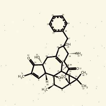 CC1=C[C@H]2[C@@]3(O)[C@H](C)C[C@]4(OC(=O)C[C@@H](N)CCc5ccccc5)C([C@@H]3C=C(CO)C[C@]2(O)C1=O)C4(C)C